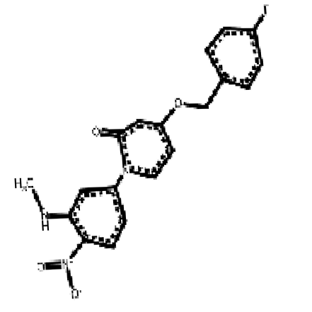 CNc1cc(-n2ccc(OCc3ccc(F)cc3)cc2=O)ccc1[N+](=O)[O-]